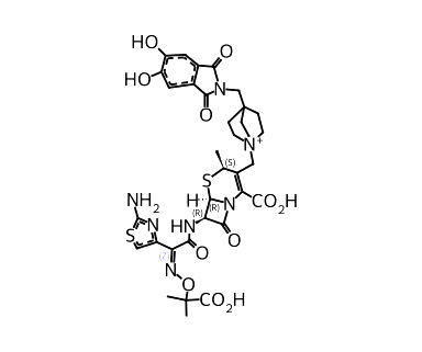 C[C@@H]1S[C@@H]2[C@H](NC(=O)/C(=N\OC(C)(C)C(=O)O)c3csc(N)n3)C(=O)N2C(C(=O)O)=C1C[N+]12CCC(CN3C(=O)c4cc(O)c(O)cc4C3=O)(CC1)CC2